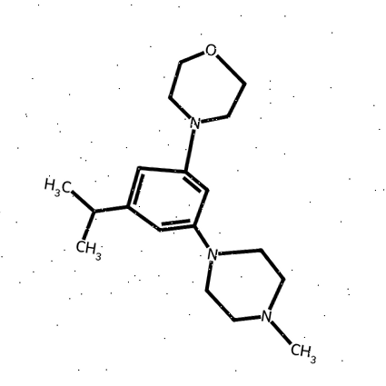 CC(C)c1cc(N2CCOCC2)cc(N2CCN(C)CC2)c1